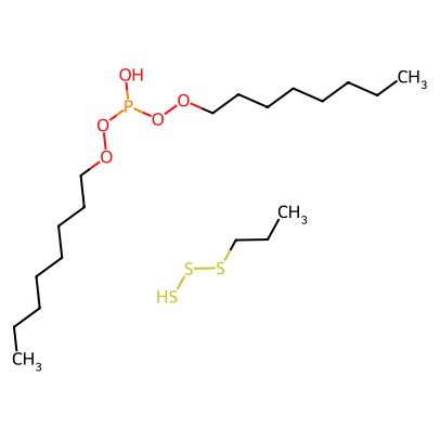 CCCCCCCCOOP(O)OOCCCCCCCC.CCCSSS